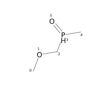 COC[PH](C)=O